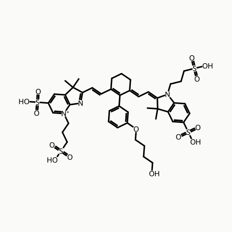 CC1(C)C(/C=C/C2=C(c3cccc(OCCCCO)c3)C(=C/C=C3/N(CCCS(=O)(=O)O)c4ccc(S(=O)(=O)O)cc4C3(C)C)/CCC2)=Nc2c1cc(S(=O)(=O)O)c[n+]2CCCS(=O)(=O)O